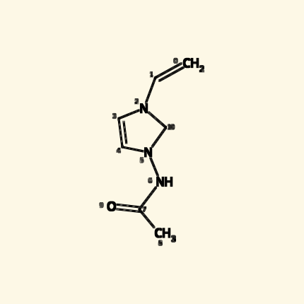 C=CN1C=CN(NC(C)=O)C1